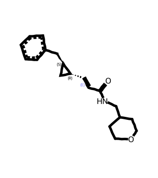 O=C(/C=C/[C@@H]1C[C@H]1Cc1ccccc1)NCC1CCOCC1